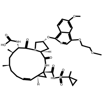 COCCOc1cnc(O[C@@H]2C[C@H]3C(=O)N[C@]4(C(=O)NS(=O)(=O)C5(C)CC5)C[C@H]4C=CCC[C@@H](C)C[C@@H](C)[C@H](NC(=O)O)C(=O)N3C2)c2ccc(OC)cc12